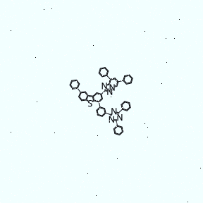 c1ccc(-c2ccc3sc4c(-c5cccc(-c6nc(-c7ccccc7)nc(-c7ccccc7)n6)c5)cc(-c5nc6c(-c7ccccc7)cc(-c7ccccc7)cn6n5)cc4c3c2)cc1